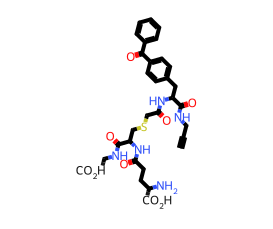 C#CCNC(=O)C(Cc1ccc(C(=O)c2ccccc2)cc1)NC(=O)CSCC(NC(=O)CCC(N)C(=O)O)C(=O)NCC(=O)O